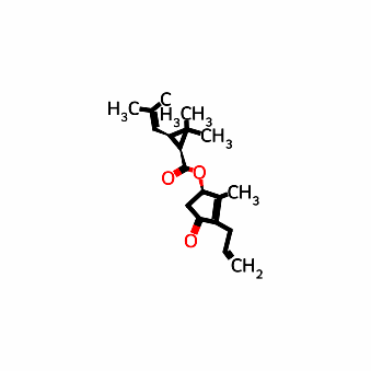 C=CCC1=C(C)[C@H](OC(=O)[C@H]2[C@@H](C=C(C)C)C2(C)C)CC1=O